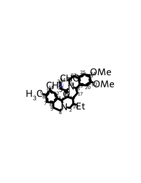 CCC1CN2CCc3cc(C)c(C)cc3C2CC1CC1c2cc(OC)c(OC)cc2CCN1C(=O)/C=C\C=O